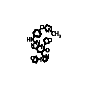 CN1CCC(Oc2ccc(Nc3ncc4cc(-c5nccn5-c5ccoc5)c(=O)n(C5CCOC5)c4n3)cc2)C1